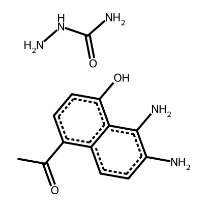 CC(=O)c1ccc(O)c2c(N)c(N)ccc12.NNC(N)=O